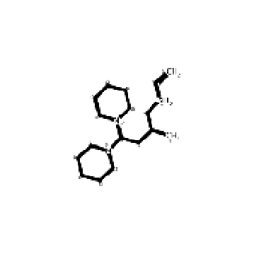 C=C[SiH2]CC(C)CC(N1CCCCC1)N1CCCCC1